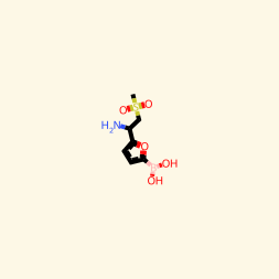 CS(=O)(=O)CC(N)c1ccc(B(O)O)o1